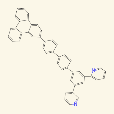 c1ccc(-c2cc(-c3ccc(-c4ccc(-c5ccc6c7ccccc7c7ccccc7c6c5)cc4)cc3)cc(-c3cccnc3)c2)nc1